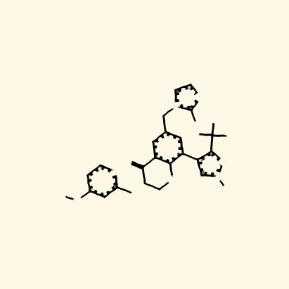 COc1ccnc(C[C@H]2COc3c(cc(Cn4ccnc4C)cc3-c3cn(C)nc3C(F)(F)F)C2=O)c1